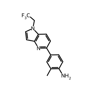 Cc1cc(-c2ccc3c(ccn3CC(F)(F)F)n2)ccc1N